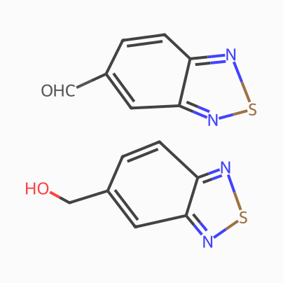 O=Cc1ccc2nsnc2c1.OCc1ccc2nsnc2c1